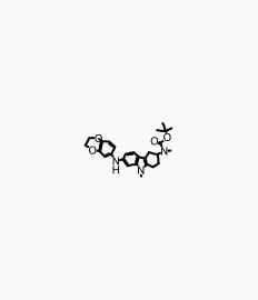 CN(C(=O)OC(C)(C)C)C1CCc2c(c3ccc(Nc4ccc5c(c4)OCCO5)cc3n2C)C1